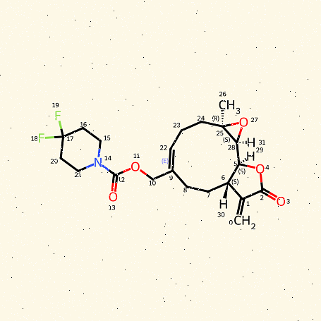 C=C1C(=O)O[C@H]2[C@H]1CC/C(COC(=O)N1CCC(F)(F)CC1)=C\CC[C@@]1(C)O[C@@H]21